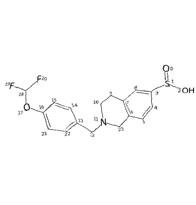 O=S(O)c1ccc2c(c1)CCN(Cc1ccc(OC(F)F)cc1)C2